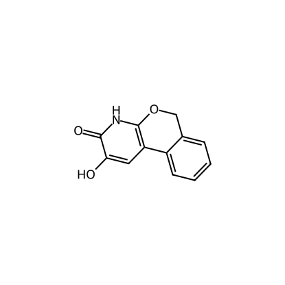 O=c1[nH]c2c(cc1O)-c1ccccc1CO2